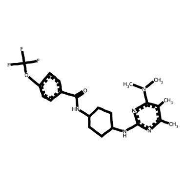 Cc1nc(NC2CCC(NC(=O)c3ccc(OC(F)(F)F)cc3)CC2)nc(N(C)C)c1C